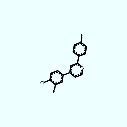 Fc1ccc(-c2cc(-c3ccc(Cl)c(F)c3)ccn2)cc1